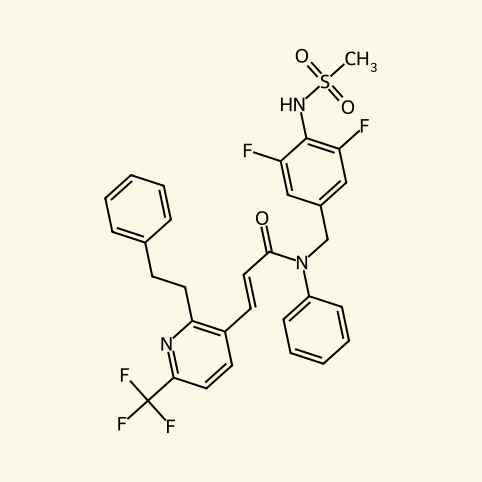 CS(=O)(=O)Nc1c(F)cc(CN(C(=O)/C=C/c2ccc(C(F)(F)F)nc2CCc2ccccc2)c2ccccc2)cc1F